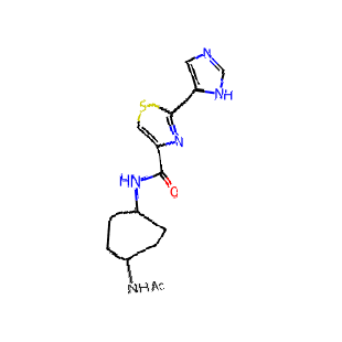 CC(=O)NC1CCC(NC(=O)c2csc(-c3cnc[nH]3)n2)CC1